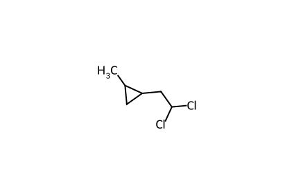 CC1CC1CC(Cl)Cl